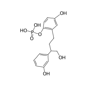 O=P(O)(O)Oc1ccc(O)cc1CCC(CO)c1cccc(O)c1